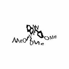 COCCN(CCOC)c1nn2c(-c3ccc(OC)cc3)nnc2c2ccccc12